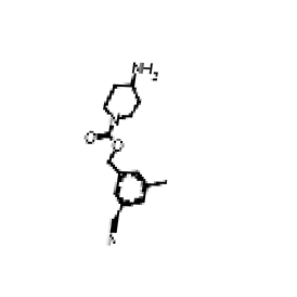 Cc1cc(C#N)cc(COC(=O)N2CCC(N)CC2)c1